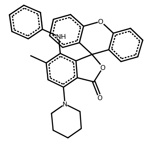 Cc1cc(N2CCCCC2)c2c(c1Nc1ccccc1)C1(OC2=O)c2ccccc2Oc2ccccc21